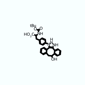 CC(C)(C)OC(=O)NC(Cc1ccc(N2NNC3=C2c2ccccc2CC(O)c2ccccc23)cc1)C(=O)O